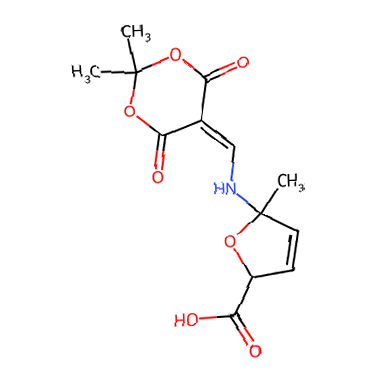 CC1(NC=C2C(=O)OC(C)(C)OC2=O)C=CC(C(=O)O)O1